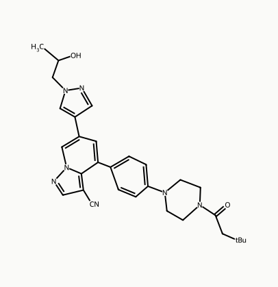 CC(O)Cn1cc(-c2cc(-c3ccc(N4CCN(C(=O)CC(C)(C)C)CC4)cc3)c3c(C#N)cnn3c2)cn1